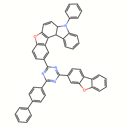 C1=CC2C(c3ccccc3N2c2ccccc2)c2c1oc1ccc(-c3nc(-c4ccc(-c5ccccc5)cc4)nc(-c4ccc5c(c4)oc4ccccc45)n3)cc21